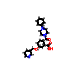 O=C(O)[C@H]1C[C@H](OCc2cccnc2)CC[C@@H]1C(=O)N1CCN(c2ccccc2)CC1